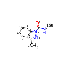 Cc1nn(C(=O)NC(C)(C)C)c2ccccc12